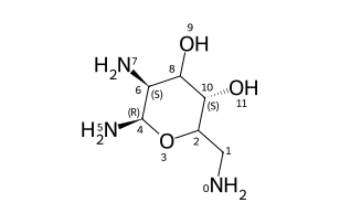 NCC1O[C@@H](N)[C@@H](N)C(O)[C@@H]1O